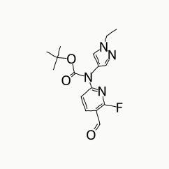 CCn1cc(N(C(=O)OC(C)(C)C)c2ccc(C=O)c(F)n2)cn1